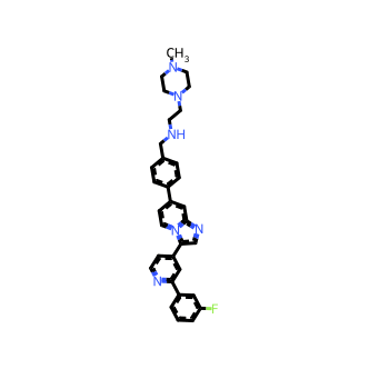 CN1CCN(CCNCc2ccc(-c3ccn4c(-c5ccnc(-c6cccc(F)c6)c5)cnc4c3)cc2)CC1